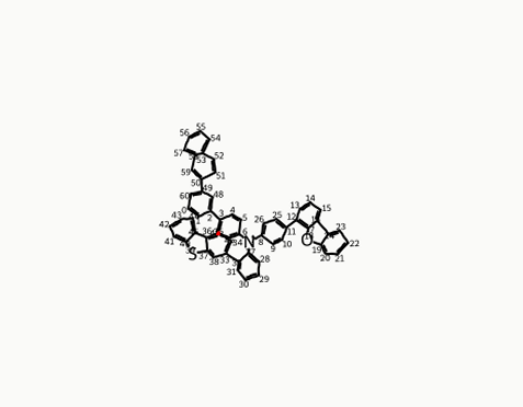 c1cc(-c2ccc(N(c3ccc(-c4cccc5c4oc4ccccc45)cc3)c3ccccc3-c3ccc4c(c3)sc3ccccc34)cc2)cc(-c2ccc3ccccc3c2)c1